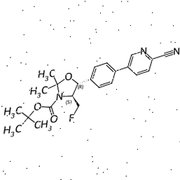 CC(C)(C)OC(=O)N1[C@H](CF)[C@@H](c2ccc(-c3ccc(C#N)nc3)cc2)OC1(C)C